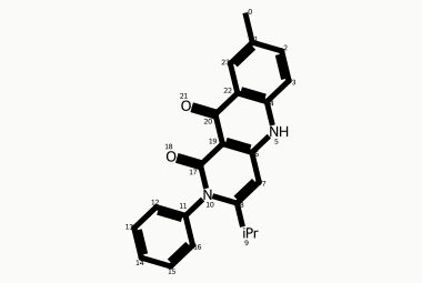 Cc1ccc2[nH]c3cc(C(C)C)n(-c4ccccc4)c(=O)c3c(=O)c2c1